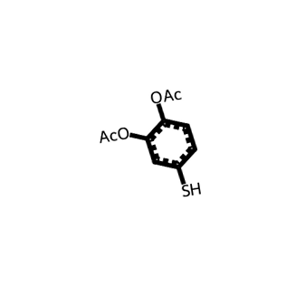 CC(=O)Oc1ccc(S)cc1OC(C)=O